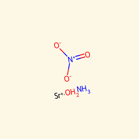 N.O.O=[N+]([O-])[O-].[Sr+]